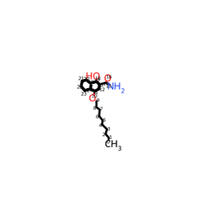 CCCCCCCCCCOc1cc(C(N)=O)c(O)c2ccccc12